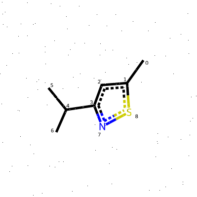 Cc1cc(C(C)C)ns1